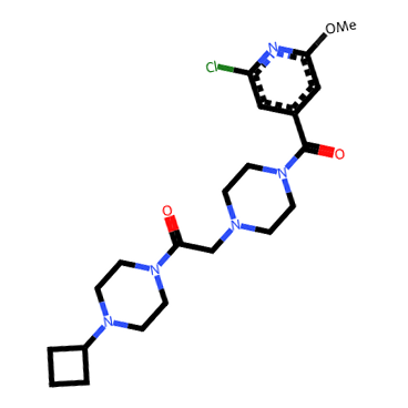 COc1cc(C(=O)N2CCN(CC(=O)N3CCN(C4CCC4)CC3)CC2)cc(Cl)n1